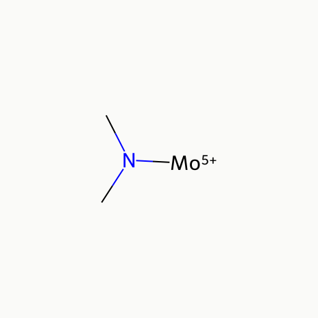 C[N](C)[Mo+5]